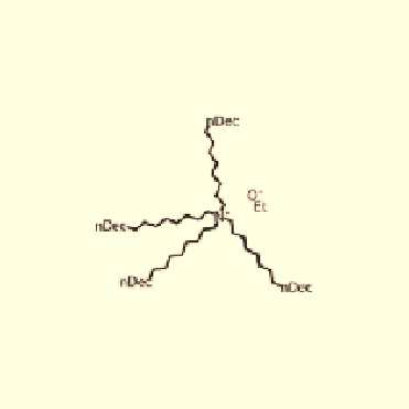 CCCCCCCCCCCCCCCCCC[N+](CCCCCCCCCCCCCCCCCC)(CCCCCCCCCCCCCCCCCC)CCCCCCCCCCCCCCCCCC.CC[O-]